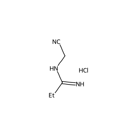 CCC(=N)NCC#N.Cl